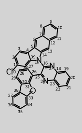 Clc1ccc2c3cc4ccccc4cc3n(-c3nc4ccccc4nc3-c3cccc4c3oc3ccccc34)c2c1